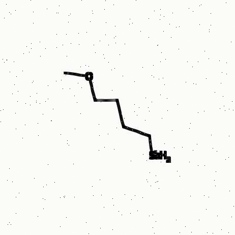 COCCC[CH2][SbH2]